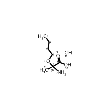 CCCCO[C@@](C)(N)C(=O)O.Cl